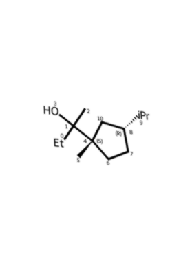 CCC(C)(O)[C@@]1(C)CC[C@@H](C(C)C)C1